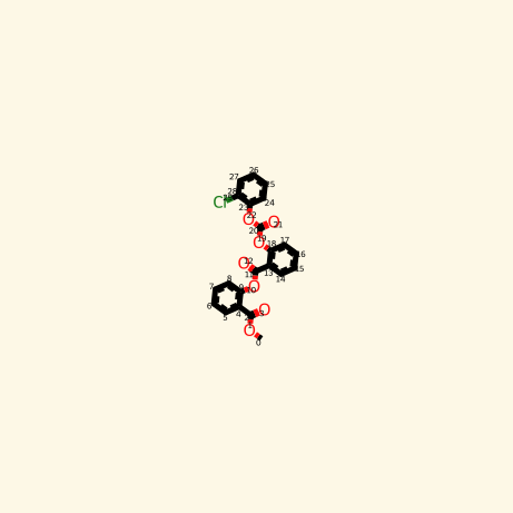 COC(=O)c1ccccc1OC(=O)c1ccccc1OC(=O)Oc1ccccc1Cl